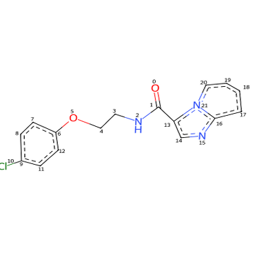 O=C(NCCOc1ccc(Cl)cc1)c1cnc2ccccn12